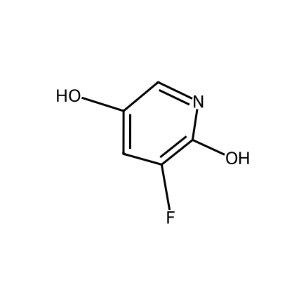 Oc1cnc(O)c(F)c1